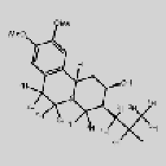 [2H]C1([2H])[C@H](C([2H])([2H])C([2H])(C)C([2H])([2H])[2H])[C@H](O)C[C@H]2c3cc(OC)c(OC)cc3C([2H])([2H])C([2H])([2H])N21